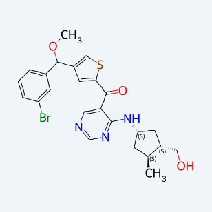 COC(c1cccc(Br)c1)c1csc(C(=O)c2cncnc2N[C@@H]2C[C@H](CO)[C@@H](C)C2)c1